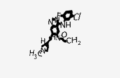 C=CC(=O)Nc1cc2c(Nc3cc(Cl)ccc3F)ncnc2cc1C#CC1C2CN(C)C[C@@H]12